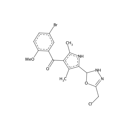 COc1ccc(Br)cc1C(=O)c1c(C)[nH]c(C2NN=C(CCl)O2)c1C